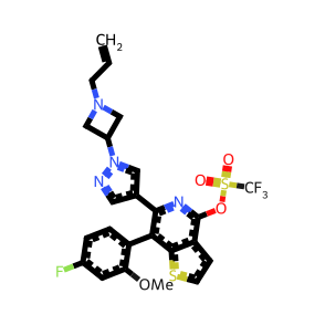 C=CCN1CC(n2cc(-c3nc(OS(=O)(=O)C(F)(F)F)c4ccsc4c3-c3ccc(F)cc3OC)cn2)C1